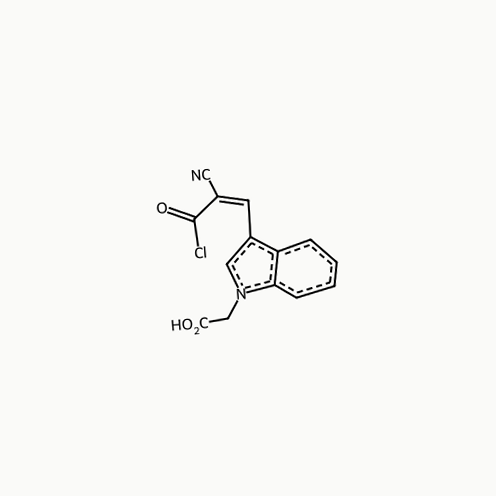 N#CC(=Cc1cn(CC(=O)O)c2ccccc12)C(=O)Cl